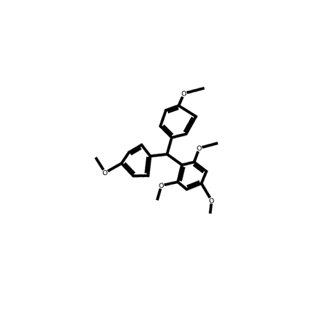 COc1ccc(C(c2ccc(OC)cc2)c2c(OC)cc(OC)cc2OC)cc1